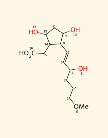 COCCCC(O)C=CC1C(O)CC(O)C1CC(=O)O